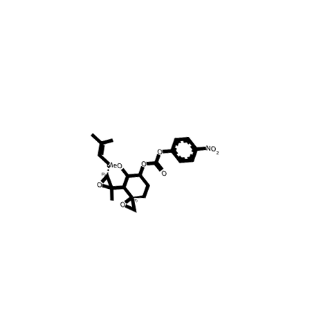 COC1C(OC(=O)Oc2ccc([N+](=O)[O-])cc2)CC[C@]2(CO2)C1C1(C)O[C@@H]1CC=C(C)C